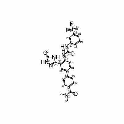 CN(C)C(=O)c1ccc(-c2ccc(NC(=O)Nc3cccc(C(F)(F)F)c3)c(-c3n[nH]c(=O)[nH]3)c2)cc1